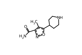 Cc1c(C(N)=O)noc1C1CCNCC1